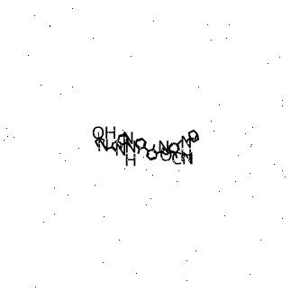 Cc1c(Nc2nccc3cc(CN4CC[C@@H](O)C4)cnc23)cccc1-c1cccc(-c2nc3cc(CNC45CCC(CC4)C5)cc(C#N)c3o2)c1C